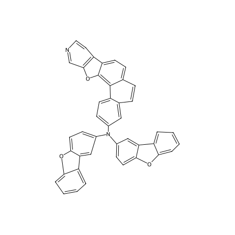 c1ccc2c(c1)oc1ccc(N(c3ccc4c(ccc5ccc6c7ccncc7oc6c54)c3)c3ccc4oc5ccccc5c4c3)cc12